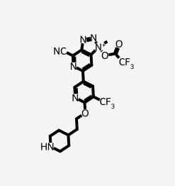 C[N+]1(OC(=O)C(F)(F)F)N=Nc2c1cc(-c1cnc(OCCC3CCNCC3)c(C(F)(F)F)c1)nc2C#N